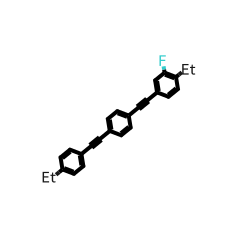 CCc1ccc(C#Cc2ccc(C#Cc3ccc(CC)c(F)c3)cc2)cc1